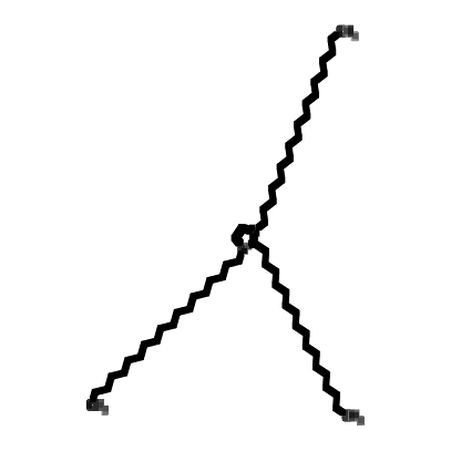 CCCCCCCCCCCCCCCCCCCn1cc[n+](CCCCCCCCCCCCCCCCCCC)c1CCCCCCCCCCCCCCCCC